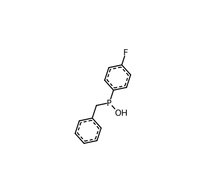 OP(Cc1ccccc1)c1ccc(F)cc1